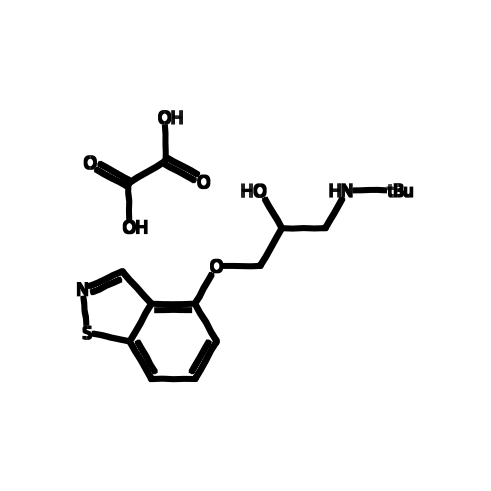 CC(C)(C)NCC(O)COc1cccc2sncc12.O=C(O)C(=O)O